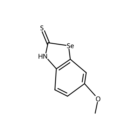 COc1ccc2[nH]c(=S)[se]c2c1